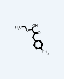 CCOC(O)C(=O)Cc1ccc(C)cc1